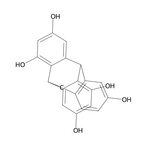 Oc1cc(O)c2c(c1)C1Cc3ccc(O)cc3C2c2cc(O)cc(O)c21